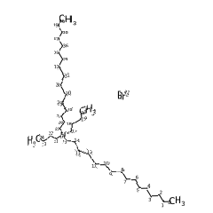 CCCCCCCCCCCCCCCC[N+](CCCC)(CCCC)CCCCCCCCCCCCCCCC.[Br-]